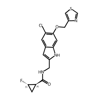 O=C(NCc1cc2cc(Cl)c(OCc3cscn3)cc2[nH]1)[C@H]1C[C@@H]1F